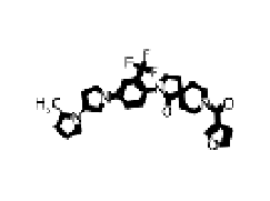 C[C@H]1CCCN1[C@H]1CCN(c2ccc(N3CCC4(CCN(C(=O)c5ccoc5)CC4)C3=O)c(C(F)(F)F)c2)C1